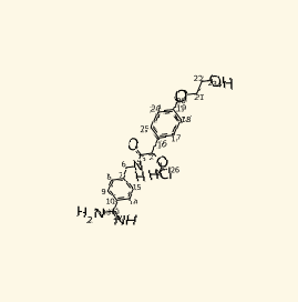 COC(C(=O)NCc1ccc(C(=N)N)cc1)c1ccc(OCCO)cc1.Cl